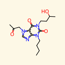 CCCCn1c(=O)n(CCC(C)O)c(=O)c2c1ncn2CC(C)=O